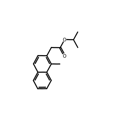 Cc1c(CC(=O)OC(C)C)ccc2ccccc12